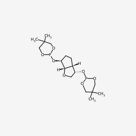 CC1(C)COP(O[C@H]2CC[C@H]3[C@@H]2OC[C@H]3OP2OCC(C)(C)CO2)OC1